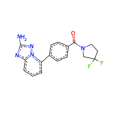 Nc1nc2cccc(-c3ccc(C(=O)N4CCC(F)(F)C4)cc3)n2n1